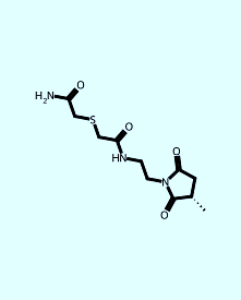 C[C@H]1CC(=O)N(CCNC(=O)CSCC(N)=O)C1=O